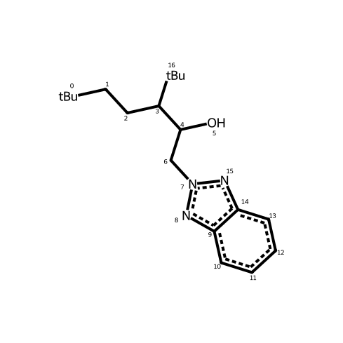 CC(C)(C)CCC(C(O)Cn1nc2ccccc2n1)C(C)(C)C